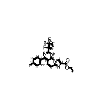 CCOC(=O)c1cn2c(ccc3c(-c4ccc(C)cc4)nc(C(F)(F)C(F)(F)F)nc32)n1